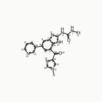 CCNC(=O)Nc1nc2cc(-c3cccnc3)cc(C(=O)c3cn(C)cn3)c2[nH]1